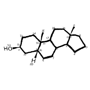 C[C@@]12CCCC1C1CC[C@@H]3C[C@@H](O)CC[C@]3(C)C1CC2